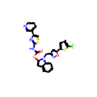 O=C(Nc1nc(-c2cccnc2)cs1)Oc1cc2ccccc2n1Cc1cc(-c2ccc(Cl)s2)on1